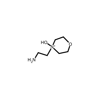 NCC[N+]1(O)CCOCC1